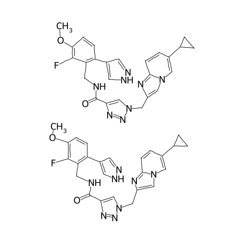 COc1ccc(-c2cn[nH]c2)c(CNC(=O)c2cn(Cc3cn4cc(C5CC5)ccc4n3)nn2)c1F.COc1ccc(-c2cn[nH]c2)c(CNC(=O)c2cn(Cc3cn4cc(C5CC5)ccc4n3)nn2)c1F